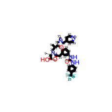 CC1CN([C@@H](C)CO)C(=O)Cc2cc(NC(=O)Nc3ccc(C(F)(F)F)cc3)ccc2O[C@H]1CN(C)Cc1ccncc1